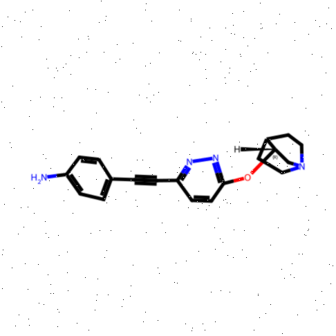 Nc1ccc(C#Cc2ccc(O[C@H]3CN4CCC3CC4)nn2)cc1